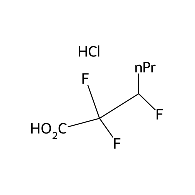 CCCC(F)C(F)(F)C(=O)O.Cl